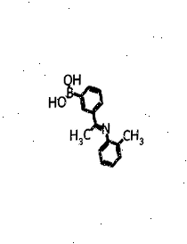 C/C(=N\c1ccccc1C)c1cccc(B(O)O)c1